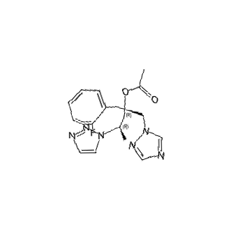 CC(=O)O[C@@](Cn1cncn1)(c1ccccc1F)[C@@H](C)n1ccnn1